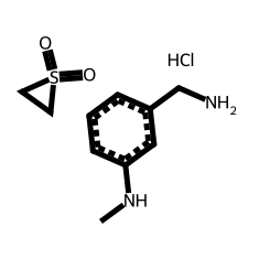 CNc1cccc(CN)c1.Cl.O=S1(=O)CC1